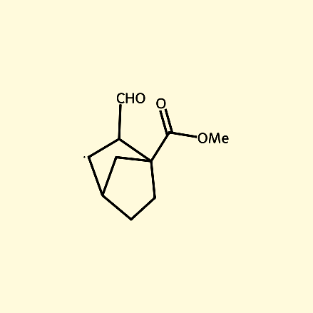 COC(=O)C12CCC([CH]C1C=O)C2